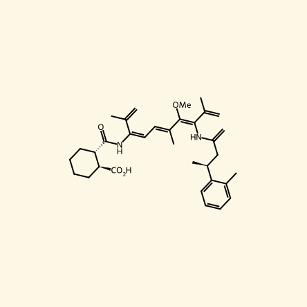 C=C(C[C@H](C)c1ccccc1C)N\C(C(=C)C)=C(OC)/C(C)=C/C=C(/NC(=O)[C@H]1CCCC[C@@H]1C(=O)O)C(=C)C